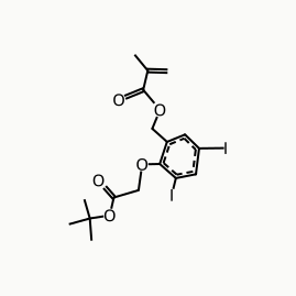 C=C(C)C(=O)OCc1cc(I)cc(I)c1OCC(=O)OC(C)(C)C